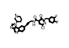 CN1CCC[C@@H](n2cnc3cnc4ccc(C#CCNC(=O)c5cc(Cl)nn(Cc6ccc(F)c(F)c6)c5=O)cc4c32)C1